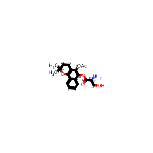 CC(=O)Oc1c2c(c3ccccc3c1OC(=O)[C@@H](N)CO)OC(C)(C)CC2